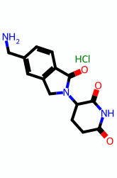 Cl.NCc1ccc2c(c1)CN(C1CCC(=O)NC1=O)C2=O